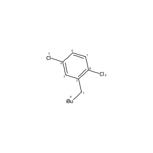 CCC(C)Cc1cc(Cl)ccc1Cl